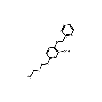 COCOCCc1ccc(OCc2ccccc2)c(C(=O)O)c1